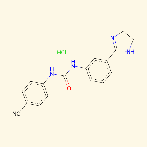 Cl.N#Cc1ccc(NC(=O)Nc2cccc(C3=NCCN3)c2)cc1